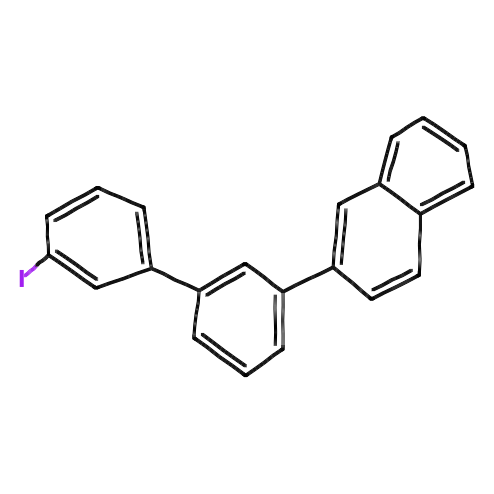 Ic1cccc(-c2cccc(-c3ccc4ccccc4c3)c2)c1